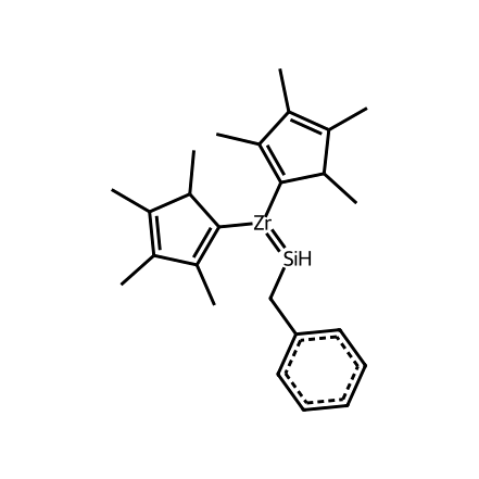 CC1=C(C)C(C)[C]([Zr](=[SiH]Cc2ccccc2)[C]2=C(C)C(C)=C(C)C2C)=C1C